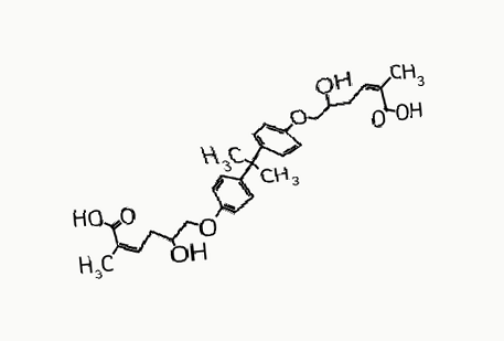 CC(=CCC(O)COc1ccc(C(C)(C)c2ccc(OCC(O)CC=C(C)C(=O)O)cc2)cc1)C(=O)O